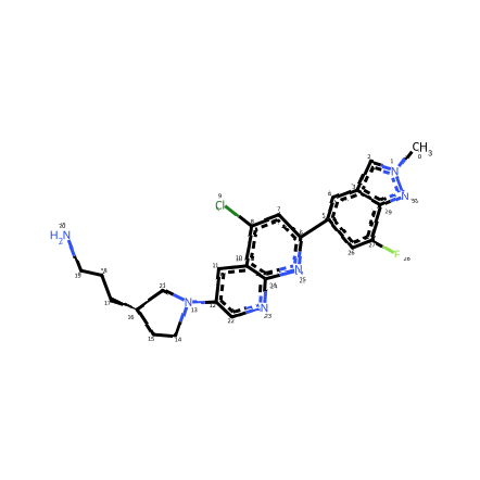 Cn1cc2cc(-c3cc(Cl)c4cc(N5CC[C@@H](CCCN)C5)cnc4n3)cc(F)c2n1